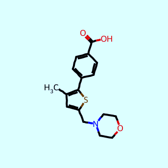 Cc1cc(CN2CCOCC2)sc1-c1ccc(C(=O)O)cc1